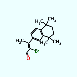 CC(=C(Br)C=O)c1ccc2c(c1)C(C)(C)CCC2(C)C